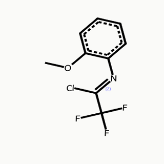 COc1ccccc1/N=C(\Cl)C(F)(F)F